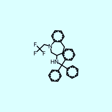 FC(F)(F)CN1CC(NC(c2ccccc2)(c2ccccc2)c2ccccc2)CCc2ccccc21